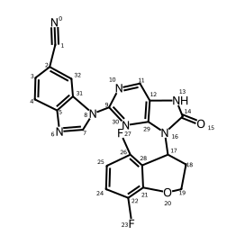 N#Cc1ccc2ncn(-c3ncc4[nH]c(=O)n(C5CCOc6c(F)ccc(F)c65)c4n3)c2c1